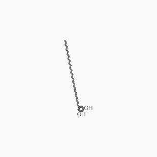 CCCCCCCCCCCCCCCCCCCCCCCCCCCCCc1cc(O)cc(O)c1